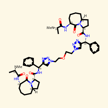 CN[C@@H](C)C(=O)N[C@H]1CCCC[C@H]2CC[C@@H](C(=O)N[C@H](c3ccccc3)c3cn(CCOCCn4cc([C@@H](NC(=O)[C@@H]5CC[C@@H]6CCCC[C@H](NC(=O)[C@H](C)NC)C(=O)N65)c5ccccc5)nn4)nn3)N2C1=O